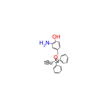 CC(C)(C)[Si](OCc1ccc(O)c(N)c1)(c1ccccc1)c1ccccc1